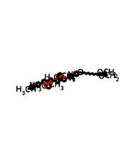 C=CC(C=C)OC(=O)CCCCCCCCCOc1ccc(-c2ncc(-c3ccc4c(c3)C3(c5cc(-c6ccc7c(c6)C6(c8cc(-c9ccc(-c%10ncc(C)cn%10)cc9)ccc8-7)C7(C)CCCC6(C)CCC7)ccc5-4)C4(C)CCC3(C)CC4)cn2)cc1